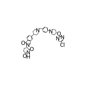 O=C1CCC(N2Cc3cc(C4CCN(Cc5ccc(N6CCC(Oc7ncc(Cl)cn7)CC6)cc5)CC4)ccc3C2=O)C(=O)N1